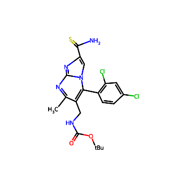 Cc1nc2nc(C(N)=S)cn2c(-c2ccc(Cl)cc2Cl)c1CNC(=O)OC(C)(C)C